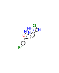 CN1C(=O)[C@]2(C[C@@](C)(Cc3ccc(Br)cc3)Cc3ccc(-c4cncc(Cl)c4)cc32)N=C1N